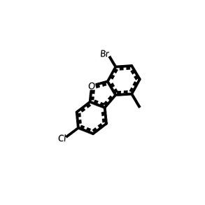 Cc1ccc(Br)c2oc3cc(Cl)ccc3c12